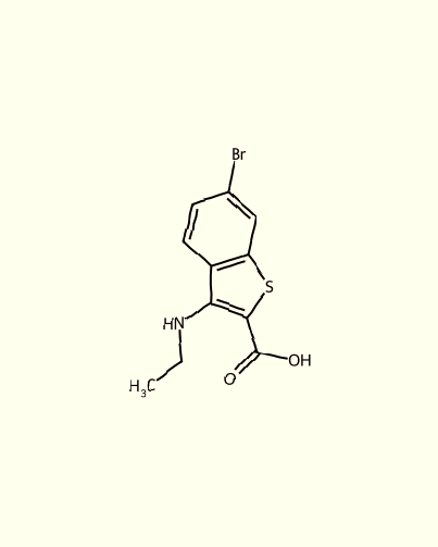 CCNc1c(C(=O)O)sc2cc(Br)ccc12